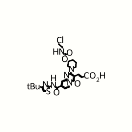 CC(C)(C)c1csc(NC(=O)c2ccn3c(=O)c(C=CC(=O)O)c(N4CCC[C@@H](OC(=O)NCCCl)C4)nc3c2)n1